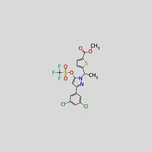 COC(=O)c1ccc(C(C)n2nc(-c3cc(Cl)cc(Cl)c3)cc2OS(=O)(=O)C(F)(F)F)s1